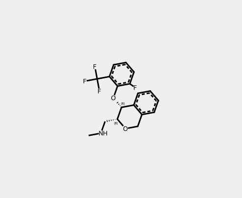 CNC[C@H]1OCc2ccccc2[C@H]1Oc1c(F)cccc1C(F)(F)F